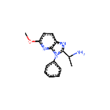 COc1ccc2nc(C(C)N)n(-c3ccccc3)c2n1